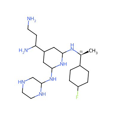 C[C@H](NC1CC(C(N)CCN)CC(NC2CNCCN2)N1)C1CCC(F)CC1